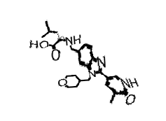 Cc1cc(-c2nc3ccc(CN[C@@H](CC(C)C)C(=O)O)cc3n2CC2CCOCC2)c[nH]c1=O